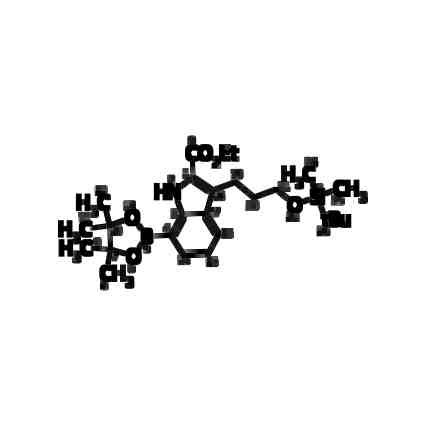 CCOC(=O)c1[nH]c2c(B3OC(C)(C)C(C)(C)O3)cccc2c1CCCO[Si](C)(C)C(C)(C)C